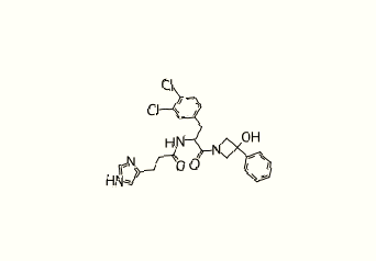 O=C(CCc1c[nH]cn1)NC(Cc1ccc(Cl)c(Cl)c1)C(=O)N1CC(O)(c2ccccc2)C1